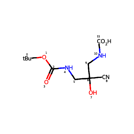 CC(C)(C)OC(=O)NCC(O)(C#N)CNC(=O)O